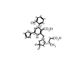 CCOC(=O)C1=C(CN2CC(F)(F)C[C@H]2C(C)CC(=O)O)NC(c2nccs2)=N[C@H]1c1ccccc1Cl